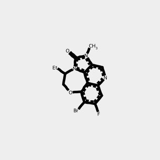 CCC1COc2c(Br)c(F)cc3ncc4c(c23)n1c(=O)n4C